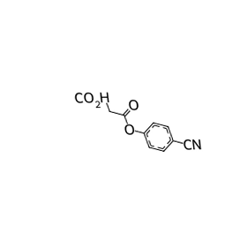 N#Cc1ccc(OC(=O)CC(=O)O)cc1